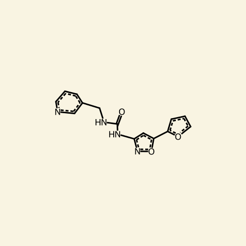 O=C(NCc1cccnc1)Nc1cc(-c2ccco2)on1